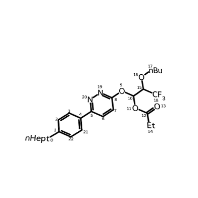 CCCCCCCc1ccc(-c2ccc(OC(OC(=O)CC)C(OCCCC)C(F)(F)F)nn2)cc1